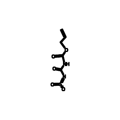 C=CCOC(=O)NC(=O)N=S(=O)=O